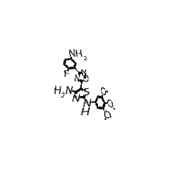 COc1cc(Nc2nc(N)c(-c3nc(-c4cc(N)ccc4F)no3)s2)cc(OC)c1OC